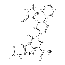 Cc1c(-c2ccc(-c3ccccc3-c3nc(=O)s[nH]3)cc2)cc(C(=O)O)c2[nH]c(OC(C)C)nc12